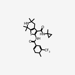 CC1CC=C(C(=O)Nc2sc3c(c2C(=O)NC2(C)CC2)CC(C)(C)NC3(C)C)C=C1C(F)(F)F